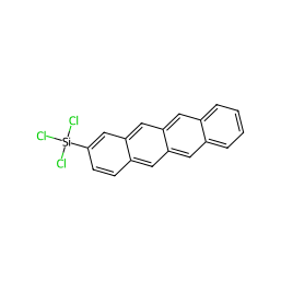 Cl[Si](Cl)(Cl)c1ccc2cc3cc4ccccc4cc3cc2c1